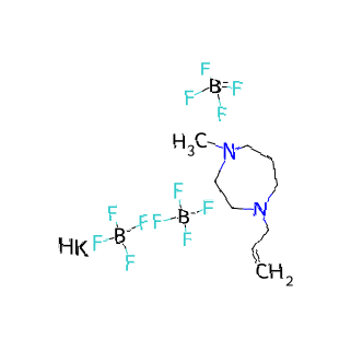 C=CCN1CCCN(C)CC1.F[B-](F)(F)F.F[B-](F)(F)F.F[B-](F)(F)F.[KH]